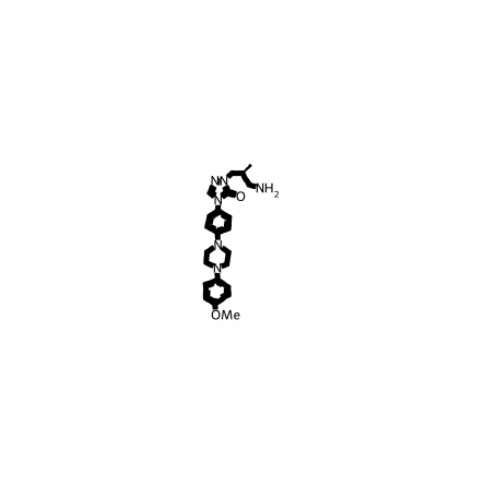 COc1ccc(N2CCN(c3ccc(-n4cnn(C[C@@H](C)CN)c4=O)cc3)CC2)cc1